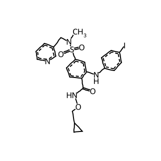 CN(Cc1cccnc1)S(=O)(=O)c1ccc(C(=O)NOCC2CC2)c(Nc2ccc(I)cc2)c1